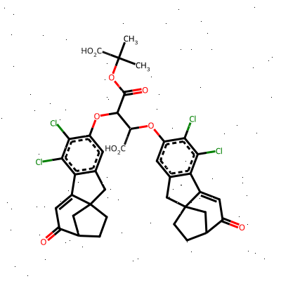 CC(C)(OC(=O)C(Oc1cc2c(c(Cl)c1Cl)C1=CC(=O)C3CCC1(C2)C3)C(Oc1cc2c(c(Cl)c1Cl)C1=CC(=O)C3CCC1(C2)C3)C(=O)O)C(=O)O